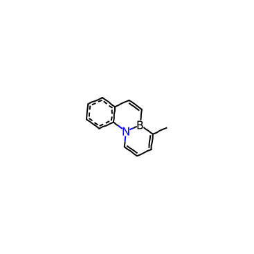 CC1=CC=CN2B1C=Cc1ccccc12